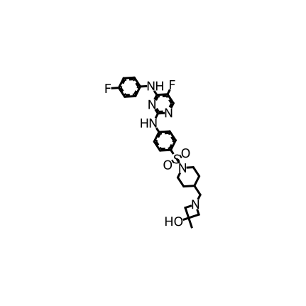 CC1(O)CN(CC2CCN(S(=O)(=O)c3ccc(Nc4ncc(F)c(Nc5ccc(F)cc5)n4)cc3)CC2)C1